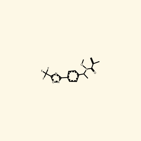 C=C(C)C(=O)N(OC)C(C)c1ccc(-c2noc(C(F)(F)F)n2)cc1